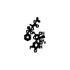 C#C[C@@]1(N)C(O)[C@@H](COP(=O)(Oc2ccccc2)O[C@@H](C)C(=O)OC(C)C)O[C@H]1n1cc(F)c(=O)[nH]c1=O